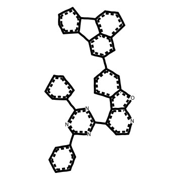 c1ccc(-c2nc(-c3ccccc3)nc(-c3ccnc4oc5cc(-c6cc7c8c(cccc8c6)-c6ccccc6-7)ccc5c34)n2)cc1